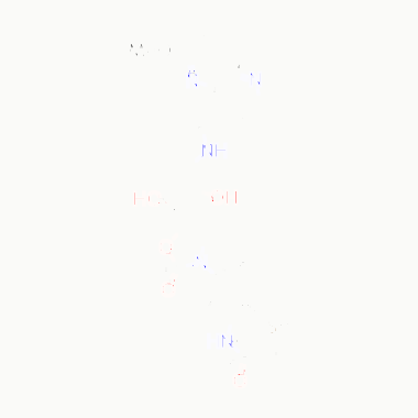 COc1ccc2nccc(CNC[C@H](O)[C@@H](O)C3CN(c4ccc5c(c4)NC(=O)CS5)C(=O)O3)c2n1